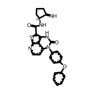 N=C1CCC[C@@H]1NC(=O)c1sc2nccc3c2c1NC(=O)N3c1ccc(Oc2ccccc2)cc1